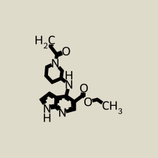 C=CC(=O)N1CCCC(Nc2c(C(=O)OCC)cnc3[nH]ccc23)C1